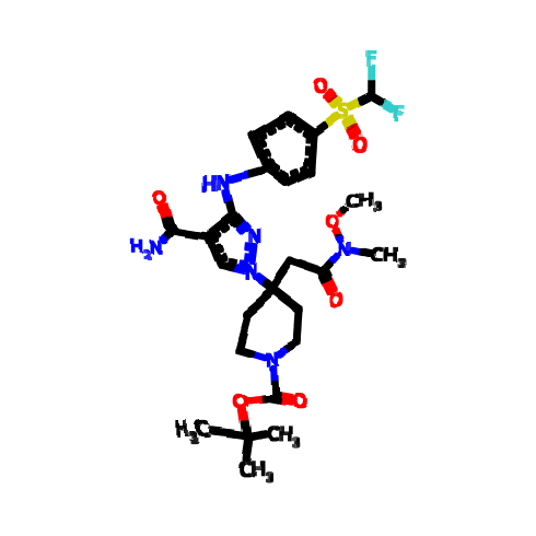 CON(C)C(=O)CC1(n2cc(C(N)=O)c(Nc3ccc(S(=O)(=O)C(F)F)cc3)n2)CCN(C(=O)OC(C)(C)C)CC1